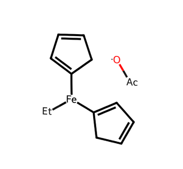 CC([O])=O.C[CH2][Fe]([C]1=CC=CC1)[C]1=CC=CC1